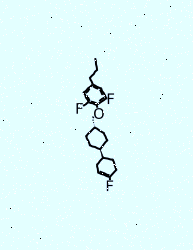 CCCc1cc(F)c(OC[C@H]2CC[C@H](C3CC=C(F)CC3)CC2)c(F)c1